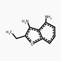 CCc1oc2cccc(N)c2c1N